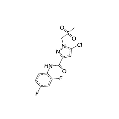 CS(=O)(=O)Cn1nc(C(=O)Nc2ccc(F)cc2F)cc1Cl